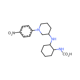 O=C(O)NC1CCCCC1NC1CCCN(c2ccc([N+](=O)[O-])cc2)C1